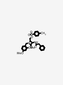 COc1ccc(CN2C(=O)C(NC(=O)Cc3ccccc3)C2COS(=O)(=O)c2ccc(C)cc2)c(OC)c1